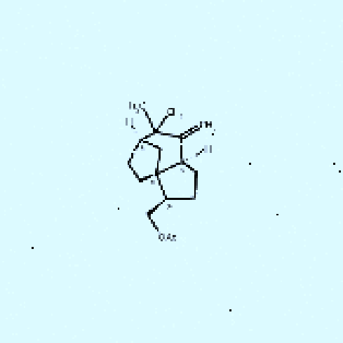 C=C1[C@H]2CC[C@@H](COC(C)=O)[C@@]23CC[C@H](C3)C1(C)C